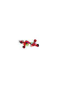 O=C(O)CN(CCCCNC(=O)c1ccc(OCc2ccccc2)c(OCc2ccccc2)c1Cl)C(=O)c1ccc(OCc2ccccc2)c(OCc2ccccc2)c1Cl